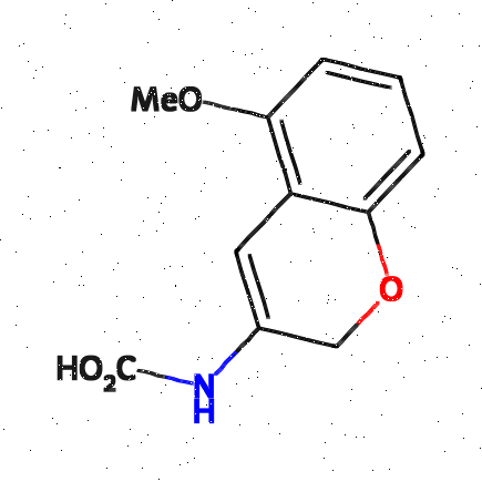 COc1cccc2c1C=C(NC(=O)O)CO2